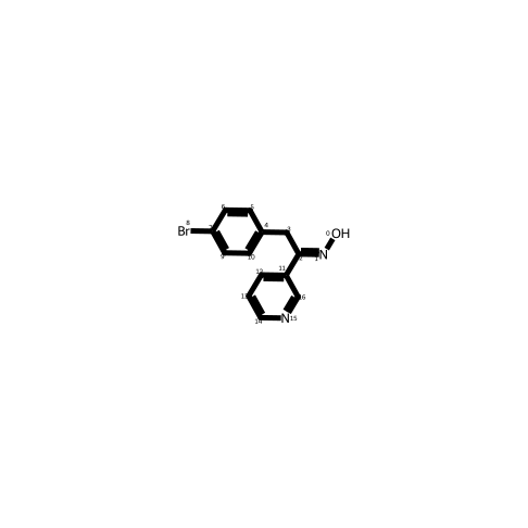 O/N=C(\Cc1ccc(Br)cc1)c1cccnc1